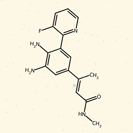 CNC(=O)/C=C(\C)c1cc(N)c(N)c(-c2ncccc2F)c1